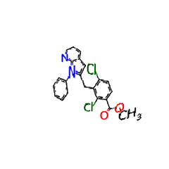 COC(=O)c1ccc(Cl)c(Cc2cc3cccnc3n2-c2ccccc2)c1Cl